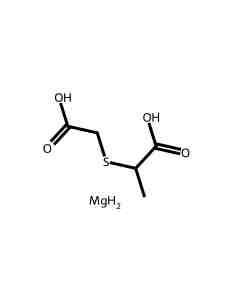 CC(SCC(=O)O)C(=O)O.[MgH2]